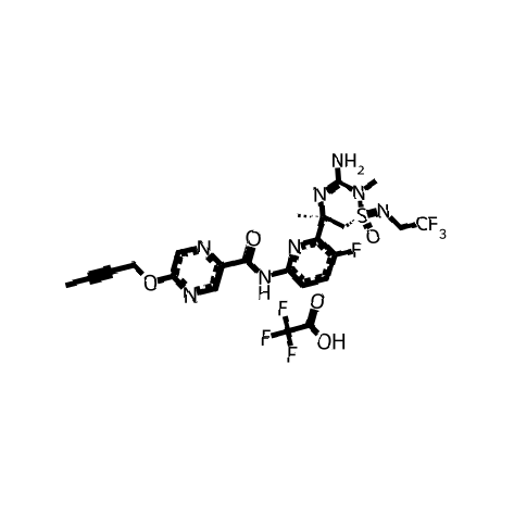 CC#CCOc1cnc(C(=O)Nc2ccc(F)c([C@]3(C)C[S@@](=O)(=NCC(F)(F)F)N(C)C(N)=N3)n2)cn1.O=C(O)C(F)(F)F